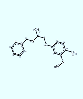 CCCSc1cc(OCC(C)SCc2ccccc2)ccc1C